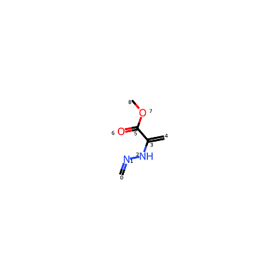 C=NNC(=C)C(=O)OC